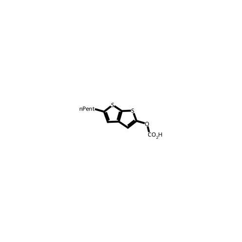 CCCCCc1cc2cc(OC(=O)O)sc2s1